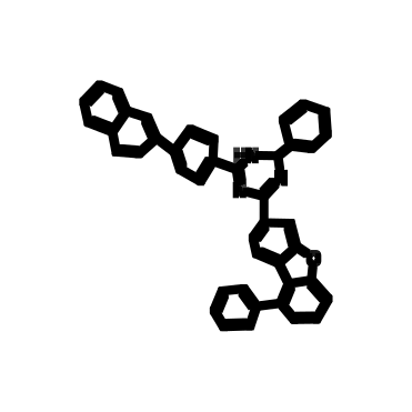 c1ccc(-c2cccc3oc4cc(C5=NC(c6ccccc6)NC(c6ccc(-c7ccc8ccccc8c7)cc6)=N5)ccc4c23)cc1